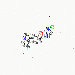 O=C(Nc1ccc(Cl)nc1)[C@H]1C[C@]12CC[C@H](c1ccnc3ccc(F)cc31)CC2